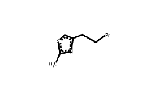 Cc1nc(CCC(C)C)cs1